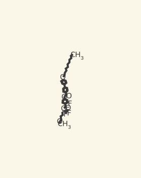 CCCCCCCCCCCOc1ccc(-c2ccc(C(=O)Oc3ccc(C(=O)O[C@H](CCCCOC)C(F)(F)F)c(F)c3)cc2)cc1